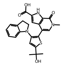 Cn1cc(-c2sc(C(C)(C)O)cc2N2CCc3ccccc32)c2cc(C(=O)O)[nH]c2c1=O